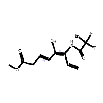 C=C/C(NC(=O)C(F)(F)Br)=C(O)\C=C\CC(=O)OC